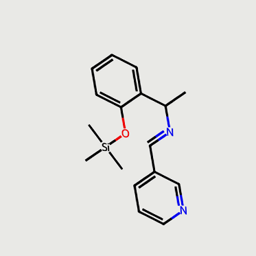 CC(/N=C/c1cccnc1)c1ccccc1O[Si](C)(C)C